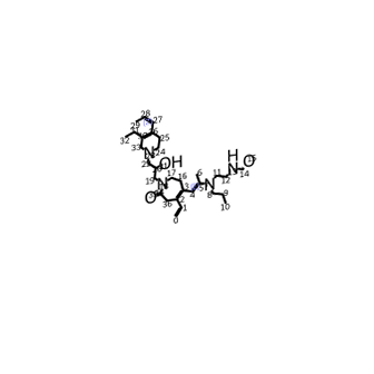 C=CC1=C(/C=C(\C)N(CCC)CCNC=O)CCN(CC(O)CN2CCC(/C=C\C)=C(CC)C2)C(=O)C1